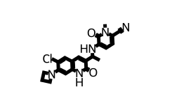 CC(Nc1ccc(C#N)n(C)c1=O)c1cc2cc(Cl)c(N3CCC3)cc2[nH]c1=O